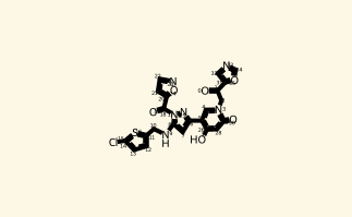 O=C(Cn1cc(-c2cc(NCc3ccc(Cl)s3)n(C(=O)c3ccno3)n2)c(O)cc1=O)c1cnco1